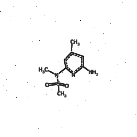 Cc1cc(N)nc(N(C)S(C)(=O)=O)c1